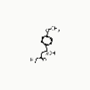 COc1ccc([C@H](O)CC(C)=O)cc1